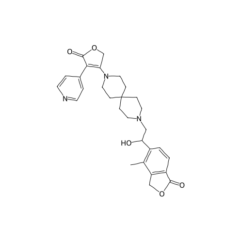 Cc1c(C(O)CN2CCC3(CC2)CCN(C2=C(c4ccncc4)C(=O)OC2)CC3)ccc2c1COC2=O